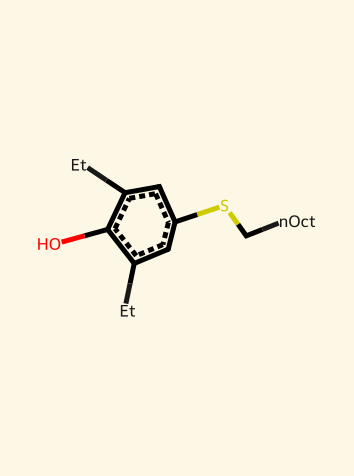 CCCCCCCCCSc1cc(CC)c(O)c(CC)c1